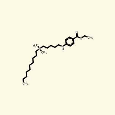 CCCCCCCCCC[Si](C)(C)CCCCCNc1ccc(C(=O)OCC)cc1